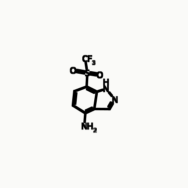 Nc1ccc(S(=O)(=O)C(F)(F)F)c2[nH]ncc12